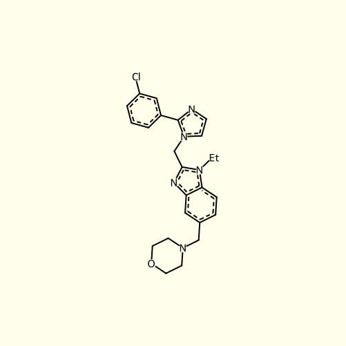 CCn1c(Cn2ccnc2-c2cccc(Cl)c2)nc2cc(CN3CCOCC3)ccc21